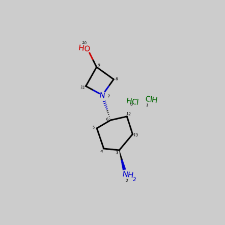 Cl.Cl.N[C@H]1CC[C@H](N2CC(O)C2)CC1